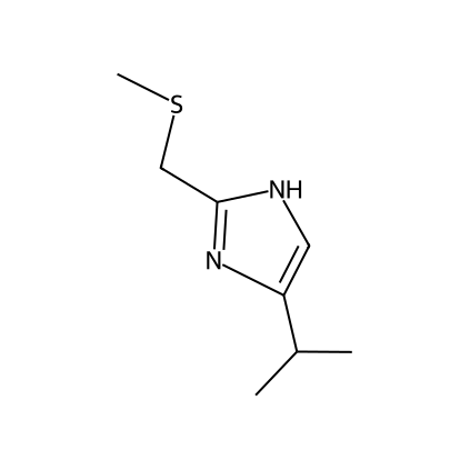 CSCc1nc(C(C)C)c[nH]1